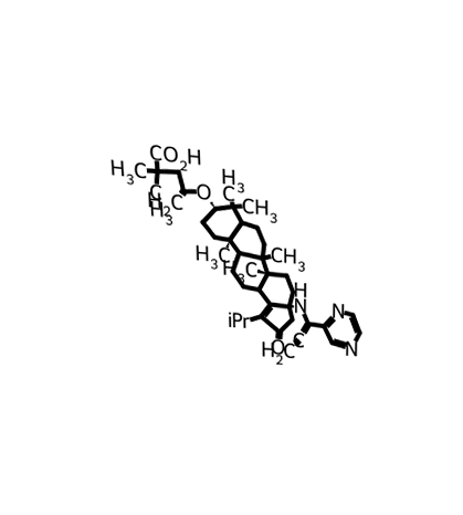 C=C=C(N[C@@]12CC[C@]3(C)C(CCC4C3(C)CCC3C(C)(C)[C@@H](OC(=C)CC(C)(C)C(=O)O)CC[C@@]34C)C1=C(C(C)C)C(=O)C2)c1cnccn1